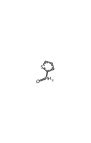 O=[PH2]c1cccs1